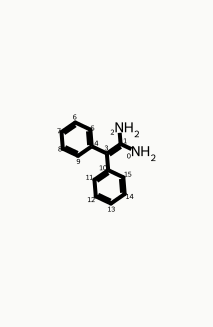 NC(N)=C(c1ccccc1)c1ccccc1